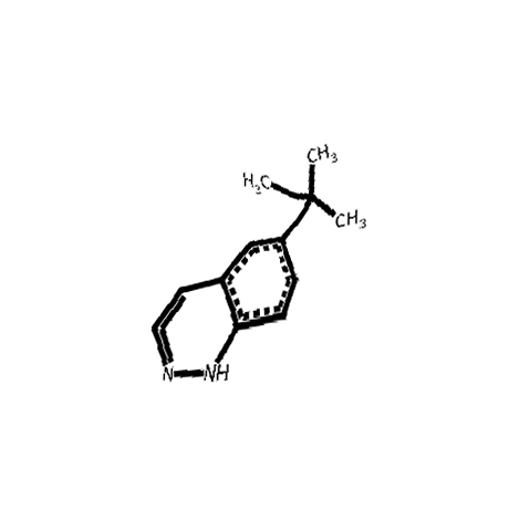 CC(C)(C)c1ccc2c(c1)C=C=NN2